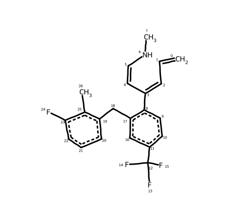 C=C/C=C(\C=C/NC)c1ccc(C(F)(F)F)cc1Cc1cccc(F)c1C